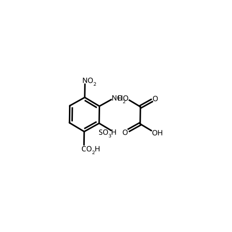 O=C(O)C(=O)O.O=C(O)c1ccc([N+](=O)[O-])c([N+](=O)[O-])c1S(=O)(=O)O